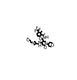 COCCN1CC(CNc2cc(=O)n(C3CCOCC3)cc2C(=O)N[C@H](C)c2cccc(C(F)(F)F)c2C)C1